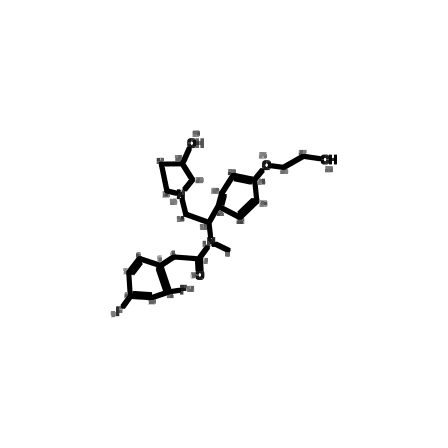 CN(C(=O)Cc1ccc(F)cc1F)C(CN1CCC(O)C1)c1ccc(OCCO)cc1